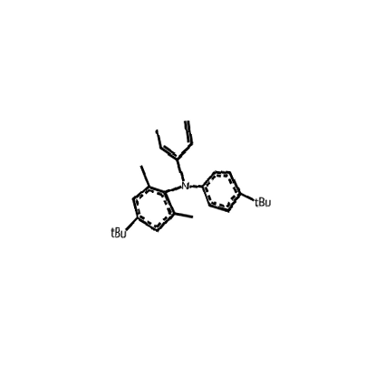 C=C/C(=C\C)N(c1ccc(C(C)(C)C)cc1)c1c(C)cc(C(C)(C)C)cc1C